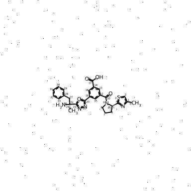 Cc1csc([C@H]2CCCN2C(=O)c2cc(C(=O)O)cc(-c3nnc([C@@](C)(N)Cc4ccccc4)o3)c2)n1